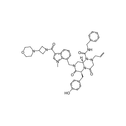 C=CCN1CC(=O)N2[C@@H](Cc3ccc(O)cc3)C(=O)N(Cc3cccc4c(C(=O)N5CC(N6CCOCC6)C5)cn(C)c34)C[C@@H]2N1C(=O)NCc1ccccc1